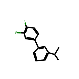 CC(C)c1cccc(-c2ccc(F)c(F)c2)c1